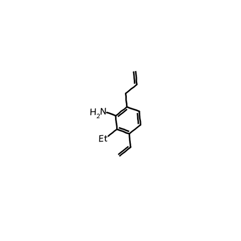 C=CCc1ccc(C=C)c(CC)c1N